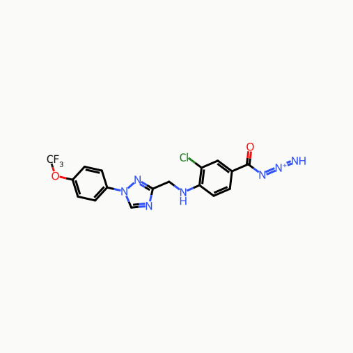 N=[N+]=NC(=O)c1ccc(NCc2ncn(-c3ccc(OC(F)(F)F)cc3)n2)c(Cl)c1